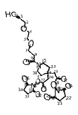 C#CCOCCOCCC(=O)N1CCC(CC(=O)ON2C(=O)CCC2=O)(CC(=O)ON2C(=O)CCC2=O)CC1